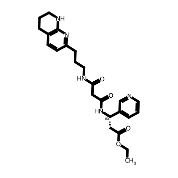 CCOC(=O)C[C@H](NC(=O)CC(=O)NCCCc1ccc2c(n1)NCCC2)c1cccnc1